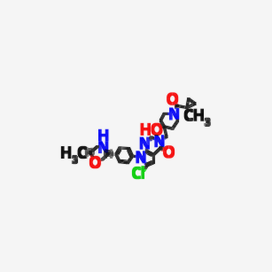 C[C@H]1CN[C@H](c2ccc(-n3c(Cl)cc4c(=O)n(CC5(O)CCN(C(=O)C6(C)CC6)CC5)cnc43)cc2)CO1